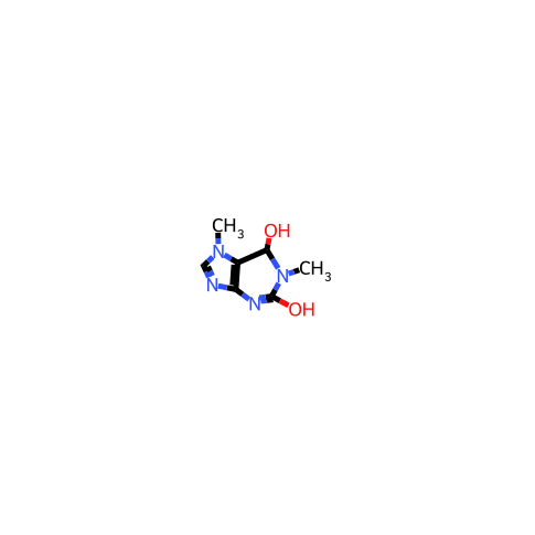 CN1C(O)=Nc2ncn(C)c2C1O